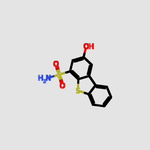 NS(=O)(=O)c1cc(O)cc2c1sc1ccccc12